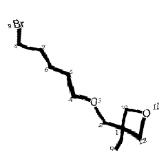 CC1(COCCCCCBr)COC1